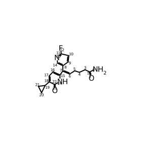 NC(=O)CCC/C=C(\c1ccc(F)nc1)c1ccc(C2CC2)c(=O)[nH]1